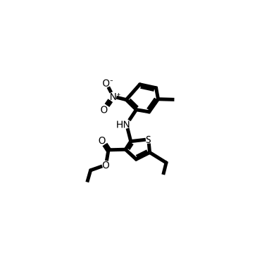 CCOC(=O)c1cc(CC)sc1Nc1cc(C)ccc1[N+](=O)[O-]